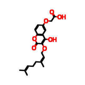 CC(C)=CCCC(C)=CCOc1c(O)c2cc(OCC(=O)O)ccc2oc1=O